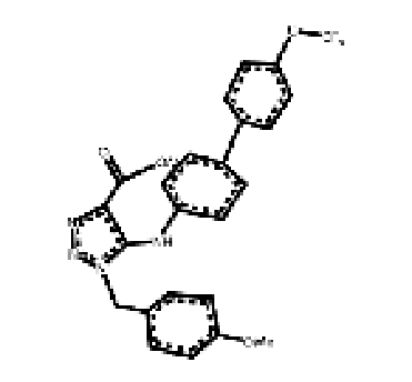 COC(=O)c1nnn(Cc2ccc(OC)cc2)c1Nc1ccc(-c2ccc(OC(F)(F)F)cc2)cc1